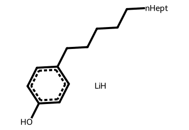 CCCCCCCCCCCCc1ccc(O)cc1.[LiH]